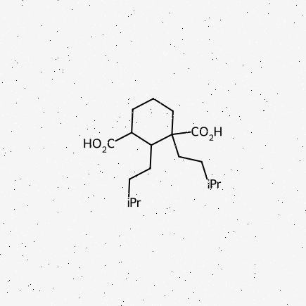 CC(C)CCC1C(C(=O)O)CCCC1(CCC(C)C)C(=O)O